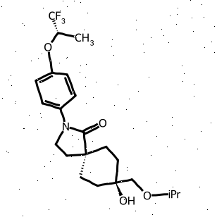 CC(C)OC[C@]1(O)CC[C@@]2(CCN(c3ccc(O[C@@H](C)C(F)(F)F)cc3)C2=O)CC1